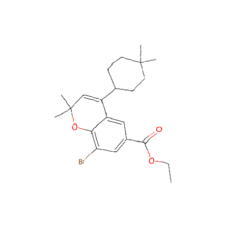 CCOC(=O)c1cc(Br)c2c(c1)C(C1CCC(C)(C)CC1)=CC(C)(C)O2